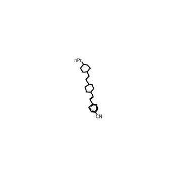 CCCC1CCC(CCC2CCC(C=Cc3ccc(C#N)cc3)CC2)CC1